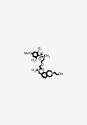 COc1cc(C)c(S(=O)(=O)N(C)CCOCC(=O)N(C)Cc2ccc3c(c2)CCN(CCO)CC3)c(C)c1